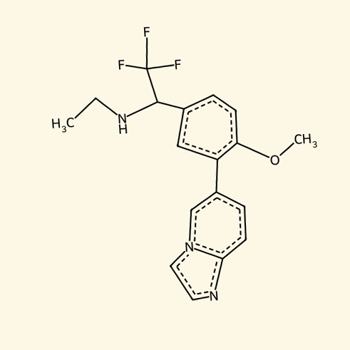 CCNC(c1ccc(OC)c(-c2ccc3nccn3c2)c1)C(F)(F)F